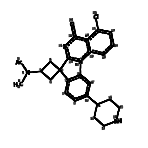 CC(=O)N(C)C1CC2(C1)c1ccc(C3CCNCC3)cc1-n1c2nc(=O)c2c(Cl)cccc21